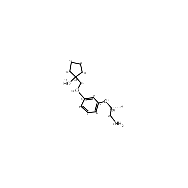 C[C@H](CN)Oc1cccc(OCC2(O)CCCC2)c1